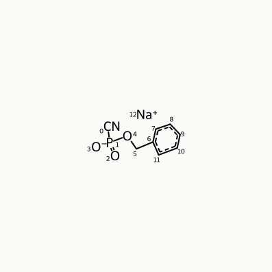 N#CP(=O)([O-])OCc1ccccc1.[Na+]